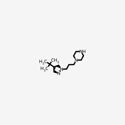 CC(C)(C)c1cnn(CCCN2CCNCC2)c1